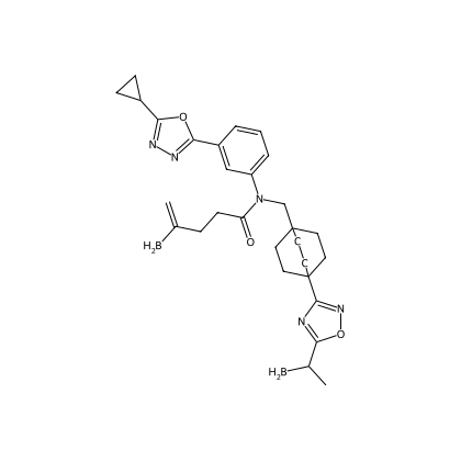 BC(=C)CCC(=O)N(CC12CCC(c3noc(C(B)C)n3)(CC1)CC2)c1cccc(-c2nnc(C3CC3)o2)c1